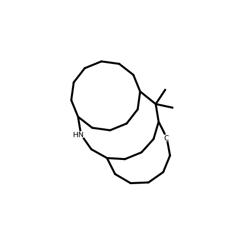 CC1(C)C2CCCCCCC(CCCC2)NCC2CCCCCCC1CCC2